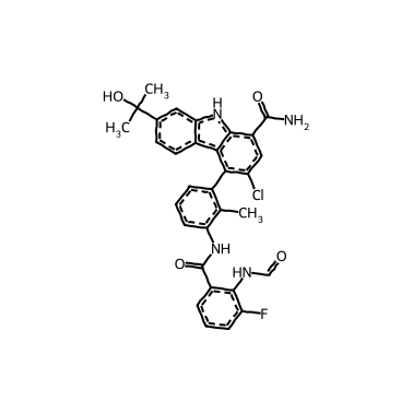 Cc1c(NC(=O)c2cccc(F)c2NC=O)cccc1-c1c(Cl)cc(C(N)=O)c2[nH]c3cc(C(C)(C)O)ccc3c12